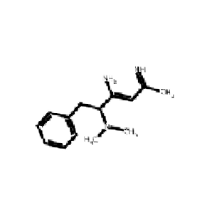 CC(=N)/C=C(\N)C(Cc1ccccc1)N(C)C